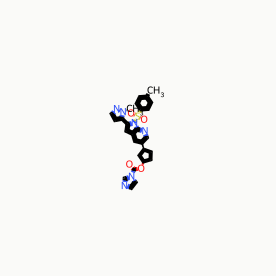 Cc1ccc(S(=O)(=O)n2c(-c3ccnn3C)cc3cc([C@H]4CC[C@@H](OC(=O)n5ccnc5)C4)cnc32)cc1